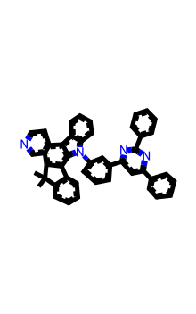 CC1(C)c2ccccc2-c2c1c1cnccc1c1c3ccccc3n(-c3cccc(-c4cc(-c5ccccc5)nc(-c5ccccc5)n4)c3)c21